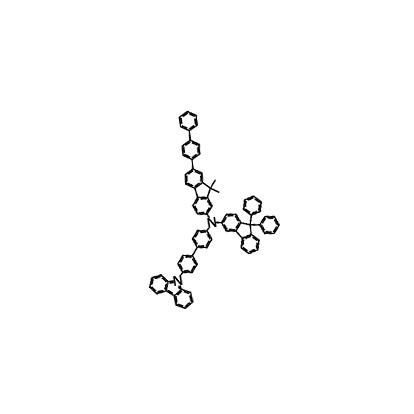 CC1(C)c2cc(-c3ccc(-c4ccccc4)cc3)ccc2-c2ccc(N(c3ccc(-c4ccc(-n5c6ccccc6c6ccccc65)cc4)cc3)c3ccc4c(c3)-c3ccccc3C4(c3ccccc3)c3ccccc3)cc21